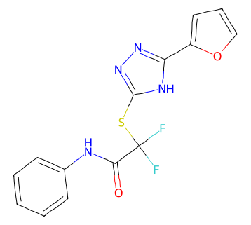 O=C(Nc1ccccc1)C(F)(F)Sc1nnc(-c2ccco2)[nH]1